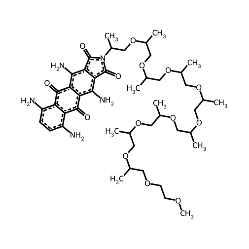 COCCOCC(C)OCC(C)OCC(C)OCC(C)OCC(C)OCC(C)OCC(C)OCC(C)OCC(C)n1c(=O)c2c(N)c3c(=O)c4c(N)ccc(N)c4c(=O)c3c(N)c2c1=O